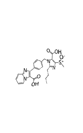 CCCCc1nc([S+](C)[O-])c(C(=O)O)n1Cc1ccc(-c2nc3ccccn3c2C(=O)O)cc1